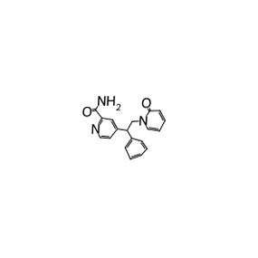 NC(=O)c1cc(C(Cn2ccccc2=O)c2ccccc2)ccn1